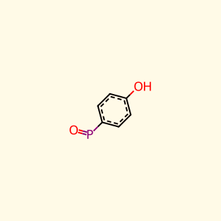 O=Pc1ccc(O)cc1